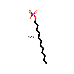 CCCCCCCCCCCCOP([O-])([O-])=S.[Na+].[Na+]